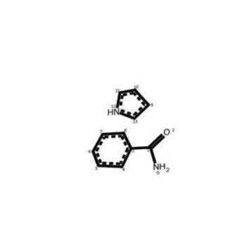 NC(=O)c1ccccc1.c1cc[nH]c1